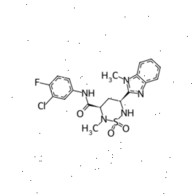 CN1[C@@H](C(=O)Nc2ccc(F)c(Cl)c2)C[C@@H](c2nc3ccccc3n2C)NS1(=O)=O